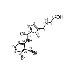 Cn1c(CNCCO)cnc1C(=O)Nc1cccc(Br)c1C#N